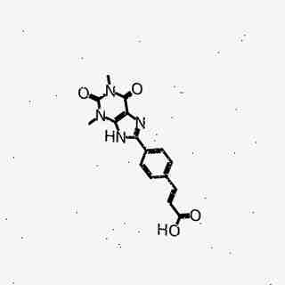 Cn1c(=O)c2nc(-c3ccc(/C=C/C(=O)O)cc3)[nH]c2n(C)c1=O